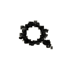 C/C=C/C[C@@H](C)[C@@H](O)[C@H]1C(=O)N[C@@H](CC)C(=O)N(C)[C@H](C)C(=O)N(C)[C@@H]([C@H](C)CN2CCn3c(nnc3C(F)(F)F)C2)C(=O)NC(C(C)C)C(=O)N(C)[C@@H](CC(C)C)C(=O)N[C@@H](C)C(=O)N[C@H](C)C(=O)N(C)[C@@H](CC(C)C)C(=O)N(C)[C@@H](CC(C)C)C(=O)N(C)C(C(C)C)C(=O)N1C